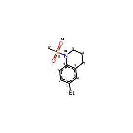 CCc1ccc2c(c1)CCCN2S(C)(=O)=O